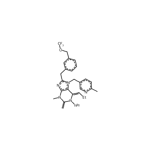 C=C1N(CCC)/C(=C\CC)c2c(nc(Cc3cccc(COC(F)(F)F)c3)n2Cc2ccc(C)nc2)N1C